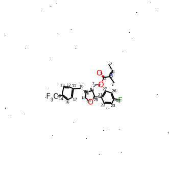 C/C=C(/C)C(=O)OC[C@H]1[C@@H](Cc2ccc(C(F)(F)F)cc2)CO[C@@H]1c1ccc(F)cc1